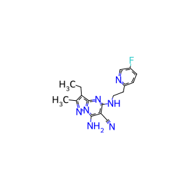 CCc1c(C)nn2c(N)c(C#N)c(NCCc3ccc(F)cn3)nc12